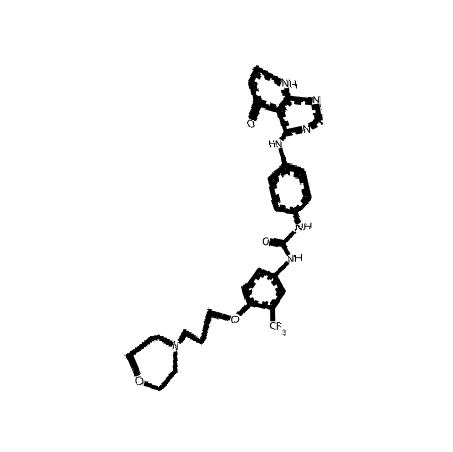 O=C(Nc1ccc(Nc2ncnc3[nH]ccc(=O)c23)cc1)Nc1ccc(OCCCN2CCOCC2)c(C(F)(F)F)c1